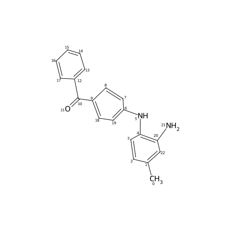 Cc1ccc(Nc2ccc(C(=O)c3ccccc3)cc2)c(N)c1